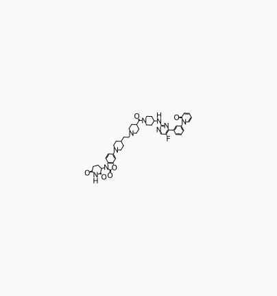 O=C1CCC(n2c(=O)oc3cc(N4CCC(CCN5CCC(C(=O)N6CCC(Nc7ncc(F)c(-c8cccc(-n9ccccc9=O)c8)n7)CC6)CC5)CC4)ccc32)C(=O)N1